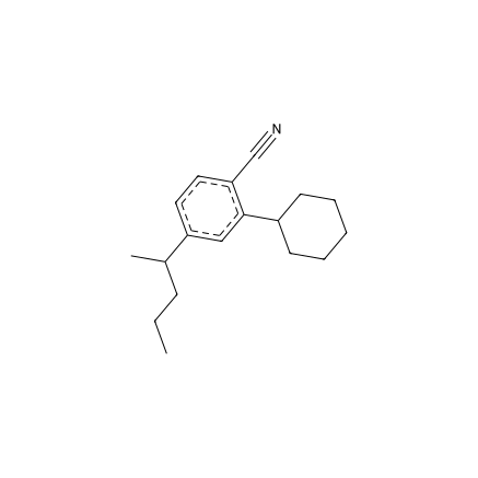 CCCC(C)c1ccc(C#N)c(C2CCCCC2)c1